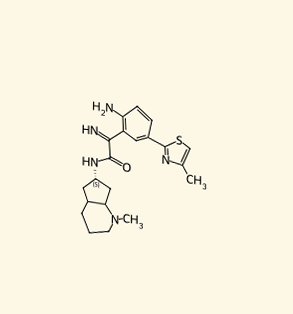 Cc1csc(-c2ccc(N)c(C(=N)C(=O)N[C@H]3CC4CCCN(C)C4C3)c2)n1